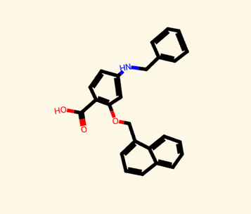 O=C(O)c1ccc(NCc2ccccc2)cc1OCc1cccc2ccccc12